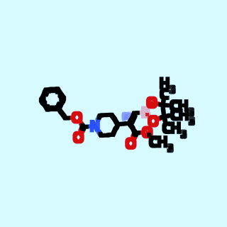 COC(=O)/C(=C\B1OC(C)(C)C(C)(C)O1)C1CCN(C(=O)OCc2ccccc2)CC1